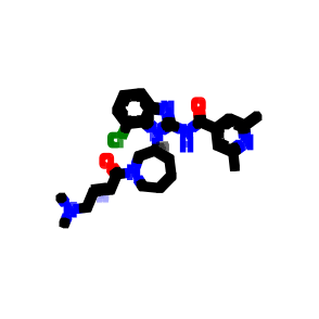 Cc1cc(C(=O)Nc2nc3cccc(Cl)c3n2[C@H]2CCCCN(C(=O)/C=C/CN(C)C)C2)cc(C)n1